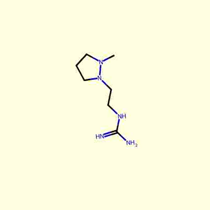 CN1CCCN1CCNC(=N)N